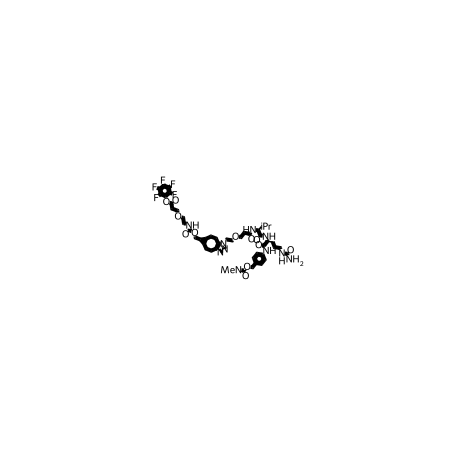 CNC(=O)OCc1ccc(NC(=O)[C@H](CCCNC(N)=O)NC(=O)[C@@H](NC(=O)CCOCCn2nnc3c2CCC2C(CC3)C2COC(=O)NCCOCCC(=O)Oc2c(F)c(F)c(F)c(F)c2F)C(C)C)cc1